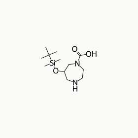 CC(C)(C)[Si](C)(C)OC1CNCCN(C(=O)O)C1